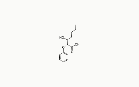 CCCCC(O)[C@@H](Oc1ccccc1)C(=O)O